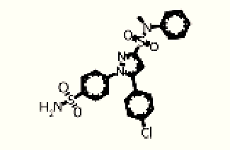 CN(c1ccccc1)S(=O)(=O)c1cc(-c2ccc(Cl)cc2)n(-c2ccc(S(N)(=O)=O)cc2)n1